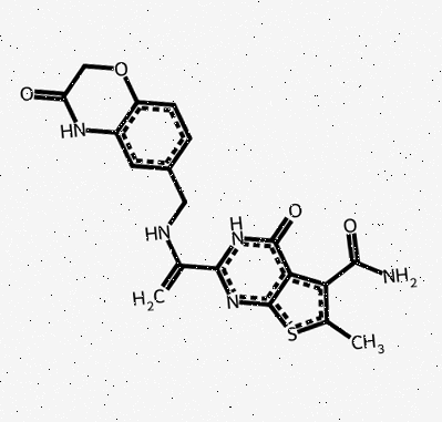 C=C(NCc1ccc2c(c1)NC(=O)CO2)c1nc2sc(C)c(C(N)=O)c2c(=O)[nH]1